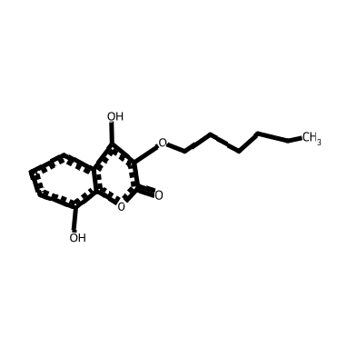 CCCCCCOc1c(O)c2cccc(O)c2oc1=O